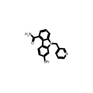 CCCc1c[c]c2c3c(C(N)=O)cccc3n(Cc3cccnc3)c2c1